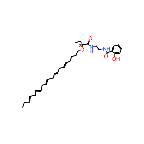 CCC=CCC=CCC=CCC=CCC=CCCCCO[C@@H](CC)C(=O)NCCNC(=O)c1ccccc1O